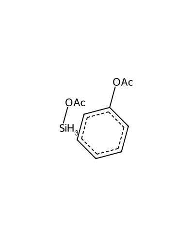 CC(=O)O[SiH3].CC(=O)Oc1ccccc1